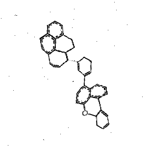 C1=CCC2Oc3ccc(C4=CCCC([C@@H]5C=Cc6ccc7cccc8c7c6C5CC8)=C4)c4cccc(c34)C2=C1